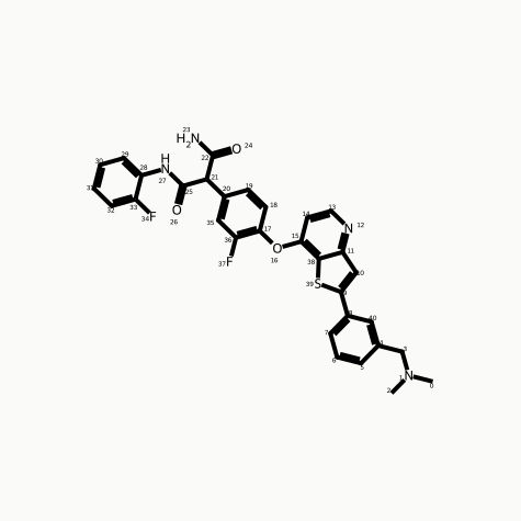 CN(C)Cc1cccc(-c2cc3nccc(Oc4ccc(C(C(N)=O)C(=O)Nc5ccccc5F)cc4F)c3s2)c1